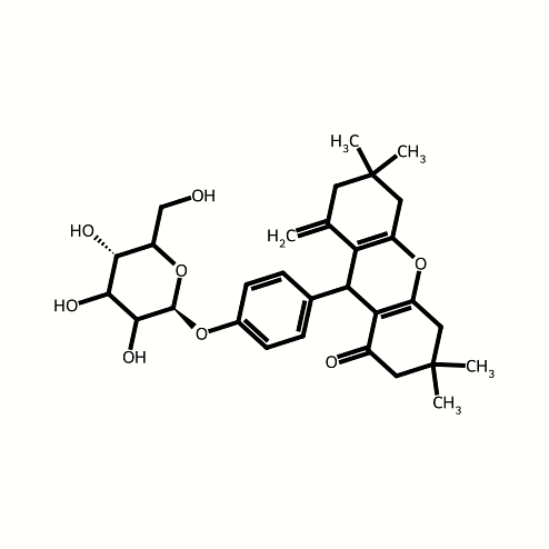 C=C1CC(C)(C)CC2=C1C(c1ccc(O[C@@H]3OC(CO)[C@@H](O)C(O)C3O)cc1)C1=C(CC(C)(C)CC1=O)O2